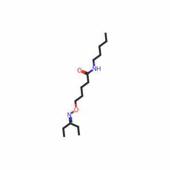 CCCCCNC(=O)CCCCON=C(CC)CC